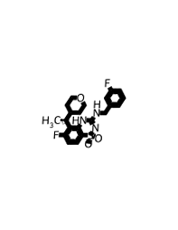 C[C@H](c1c(F)ccc2c1NC(NCc1cccc(F)c1)=NS2(=O)=O)C1CCOCC1